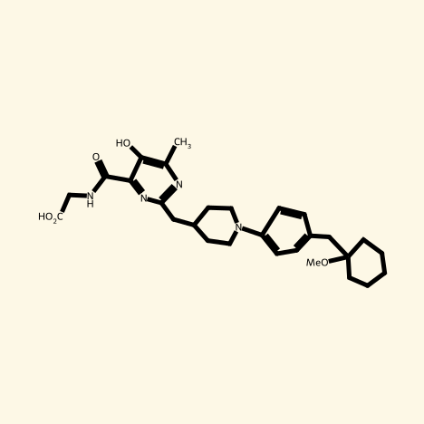 COC1(Cc2ccc(N3CCC(Cc4nc(C)c(O)c(C(=O)NCC(=O)O)n4)CC3)cc2)CCCCC1